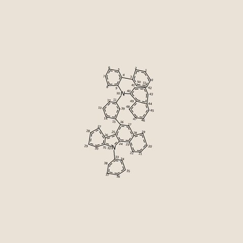 c1ccc(-c2ccccc2N(c2cccc(-c3cc4ccccc4c4c3c3ccccc3n4-c3ccccc3)c2)c2cccc3ccccc23)cc1